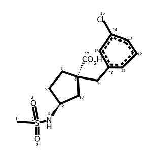 CS(=O)(=O)N[C@H]1CC[C@](Cc2cccc(Cl)c2)(C(=O)O)C1